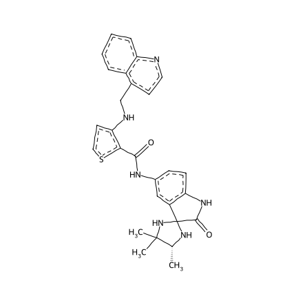 C[C@H]1NC2(NC1(C)C)C(=O)Nc1ccc(NC(=O)c3sccc3NCc3ccnc4ccccc34)cc12